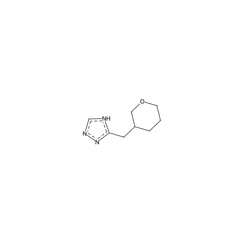 c1nnc(CC2CCCOC2)[nH]1